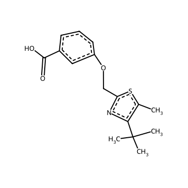 Cc1sc(COc2cccc(C(=O)O)c2)nc1C(C)(C)C